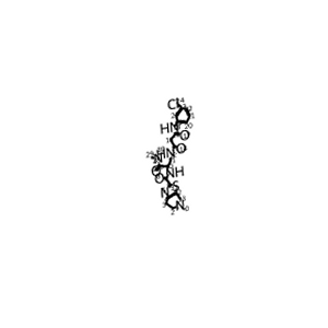 CN1CCc2nc(C(=O)NC(CNC(=O)CC(=O)Nc3cccc(Cl)c3)C(=O)N(C)C)sc2C1